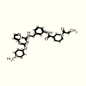 C=CC(=O)N1CCCC(C(=O)Nc2cccc(CNc3nc(OC4CCN(C)CC4)nc4ccnn34)c2)C1